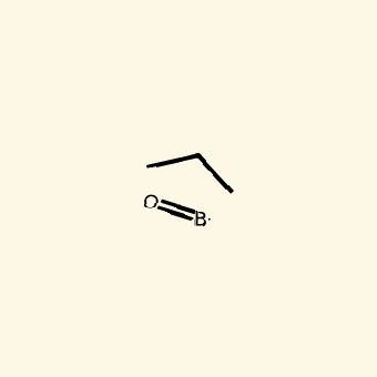 CCC.[B]=O